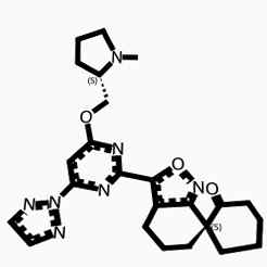 CN1CCC[C@H]1COc1cc(-n2nccn2)nc(-c2onc3c2CCC[C@@]32CCCCC2=O)n1